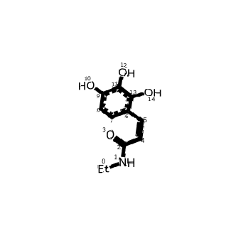 CCNC(=O)/C=C\c1ccc(O)c(O)c1O